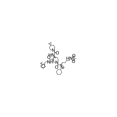 CN(C1CCCCC1)[C@H](CCCCNS(C)(=O)=O)C(=O)N1CC[C@@H](NC(=O)N2CCC3(CC2)CC3)[C@@H](C(=O)NCc2cccs2)C1